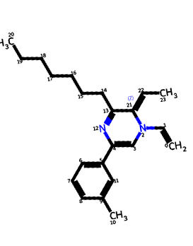 C=CN1C=C(c2cccc(C)c2)N=C(CCCCCCC)/C1=C/C